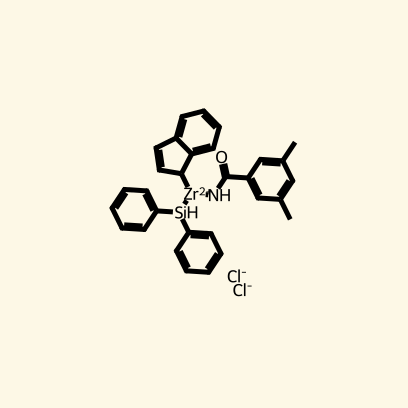 Cc1cc(C)cc(C(=O)[NH][Zr+2]([CH]2C=Cc3ccccc32)[SiH](c2ccccc2)c2ccccc2)c1.[Cl-].[Cl-]